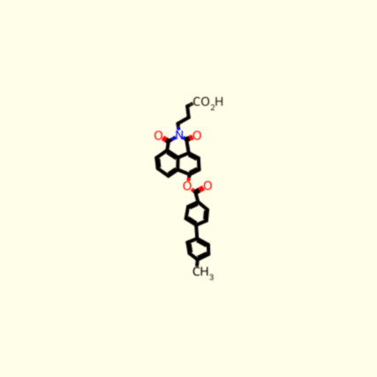 Cc1ccc(-c2ccc(C(=O)Oc3ccc4c5c(cccc35)C(=O)N(CCCC(=O)O)C4=O)cc2)cc1